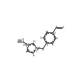 C=Cc1ccc(C[n+]2ccn(C(C)CC)c2)cc1